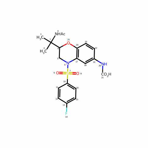 CC(=O)NC(C)(C)C1CN(S(=O)(=O)c2ccc(F)cc2)c2cc(NC(=O)O)ccc2O1